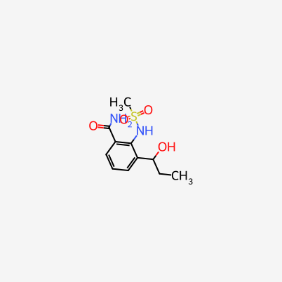 CCC(O)c1cccc(C(N)=O)c1NS(C)(=O)=O